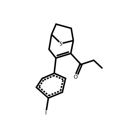 CCC(=O)C1=C(c2ccc(I)cc2)CC2CCC1S2